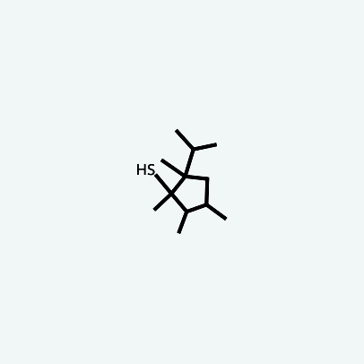 CC1CC(C)(C(C)C)C(C)(S)C1C